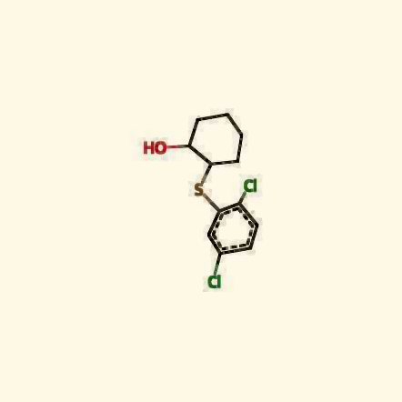 OC1CCCCC1Sc1cc(Cl)ccc1Cl